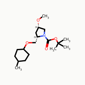 CO[C@H]1C[C@@H](COC2CCC(C)CC2)N(C(=O)OC(C)(C)C)C1